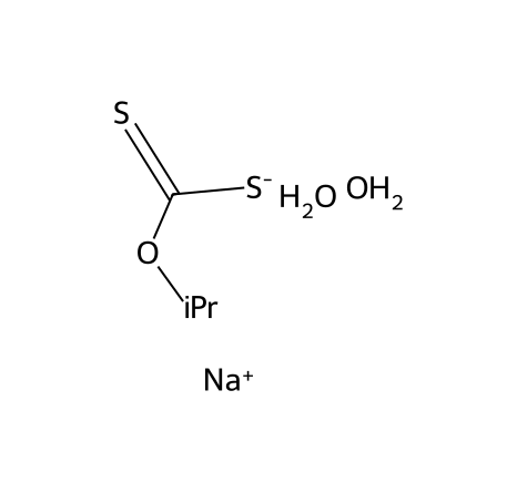 CC(C)OC(=S)[S-].O.O.[Na+]